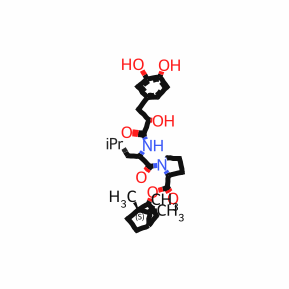 CC(C)CC(NC(=O)C(O)Cc1ccc(O)c(O)c1)C(=O)N1CCCC1C(=O)OC1CC2CC[C@@]1(C)C2(C)C